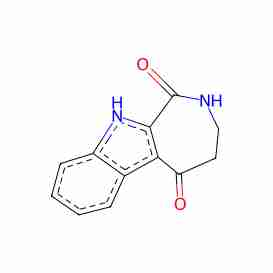 O=C1NCCC(=O)c2c1[nH]c1ccccc21